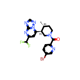 C[C@@H]1CCN(C(=O)c2ccc(Br)cn2)C[C@H]1c1cc(C(F)F)nc2ncnn12